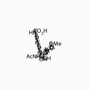 COc1cccc(-c2cn(C[C@H]3OC(OCCOCCOCCOCCNC(=O)O)[C@H](NC(C)=O)[C@@H](O)[C@H]3O)nn2)c1